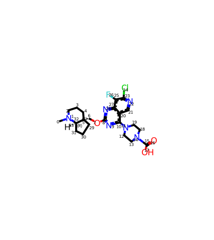 CN1CCC[C@@]2(COc3nc(N4CCN(C(=O)O)CC4)c4cnc(Cl)c(F)c4n3)CCC[C@@H]12